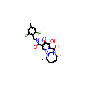 Cc1cc(F)c(CNC(=O)c2cn3c(c(O)c2=O)C(=O)N2CN3[C@@H](C)C/C=C\[C@H]2C)c(F)c1